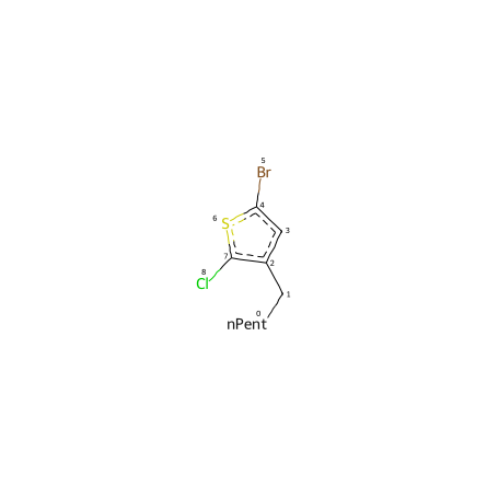 CCCCCCc1cc(Br)sc1Cl